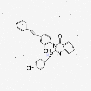 Cc1cc(C#Cc2ccccc2)ccc1-n1c(/C=C/c2ccc(Cl)cc2)nc2ccccc2c1=O